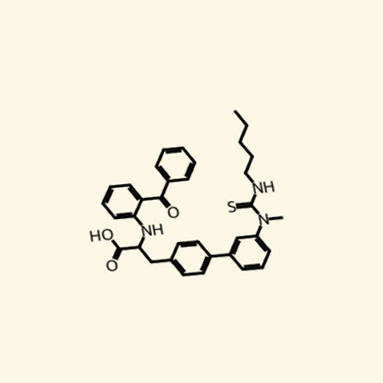 CCCCCNC(=S)N(C)c1cccc(-c2ccc(CC(Nc3ccccc3C(=O)c3ccccc3)C(=O)O)cc2)c1